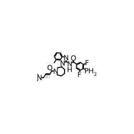 Cc1cccc2nc(NC(=O)c3cc(F)c(P)c(F)c3)n(C3CCCCN(C(=O)/C=C/CN(C)C)C3)c12